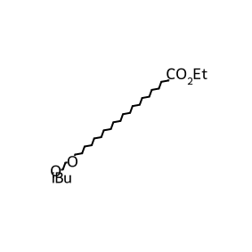 CCOC(=O)CCCCCCCCCCCCCCCCCCCCOCCOC(C)CC